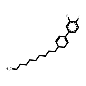 CCCCCCCCCCC1C=CC(c2ccc(F)c(F)c2)=CC1